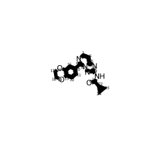 O=C(Nc1nc2ccnc(-c3ccc4c(c3)OCCO4)n2n1)C1CC1